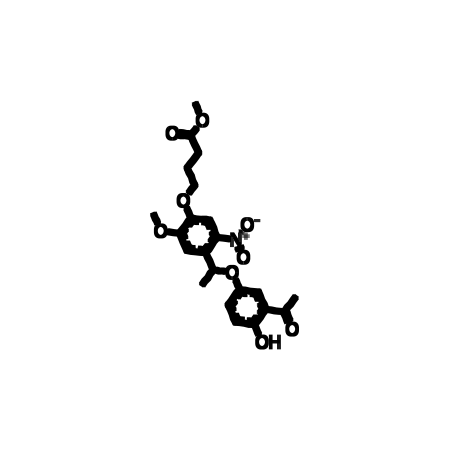 COC(=O)CCCOc1cc([N+](=O)[O-])c(C(C)Oc2ccc(O)c(C(C)=O)c2)cc1OC